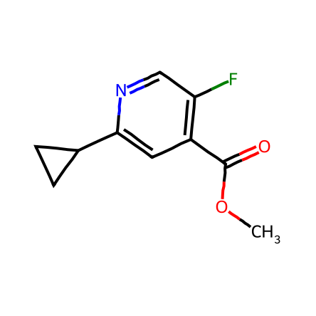 COC(=O)c1cc(C2CC2)ncc1F